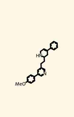 COc1ccc(-c2cncc(CCC3CC(c4ccccc4)=CCN3)c2)cc1